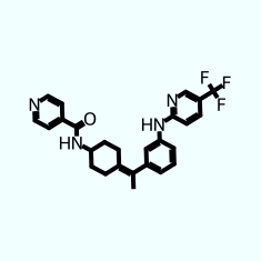 CC(=C1CCC(NC(=O)c2ccncc2)CC1)c1cccc(Nc2ccc(C(F)(F)F)cn2)c1